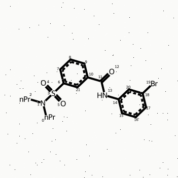 CCCN(CCC)S(=O)(=O)c1cccc(C(=O)Nc2cccc(Br)c2)c1